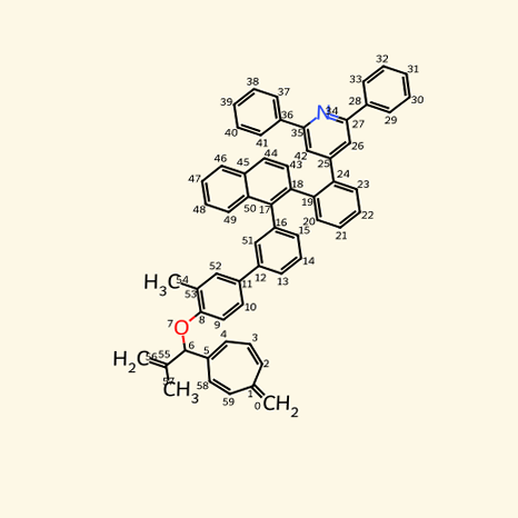 C=C1C=CC=C(C(Oc2ccc(-c3cccc(-c4c(-c5ccccc5-c5cc(-c6ccccc6)nc(-c6ccccc6)c5)ccc5ccccc45)c3)cc2C)C(=C)C)C=C1